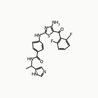 CC(NC(=O)c1ccc(Nc2nc(N)c(C(=O)c3c(F)cccc3F)s2)cc1)c1cnc[nH]1